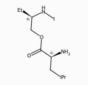 CC[C@H](COC(=O)[C@@H](N)CC(C)C)NI